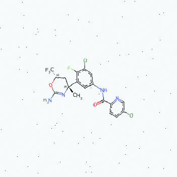 C[C@]1(c2cc(NC(=O)c3ccc(Cl)cn3)cc(Cl)c2F)C[C@@H](C(F)(F)F)OC(N)=N1